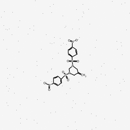 C=C1CN(S(=O)(=O)c2ccc([N+](=O)[O-])cc2)CN(S(=O)(=O)c2ccc([N+](=O)[O-])cc2)C1